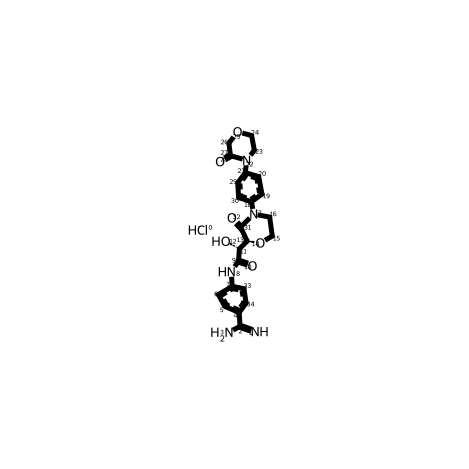 Cl.N=C(N)c1ccc(NC(=O)[C@H](O)[C@H]2OCCN(c3ccc(N4CCOCC4=O)cc3)C2=O)cc1